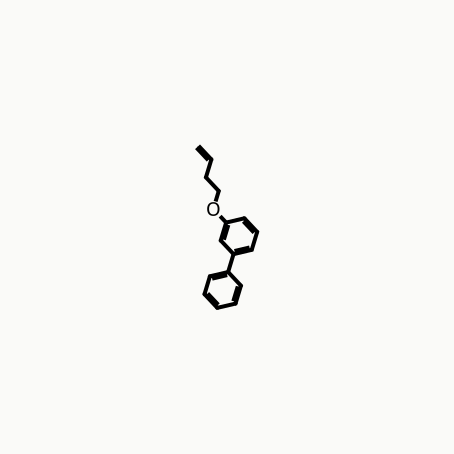 C=CCCOc1cccc(-c2ccccc2)c1